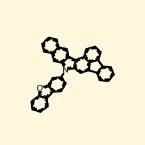 c1ccc2c(c1)-c1cccc3c1c-2cc1c3c2cc3ccccc3cc2n1-c1ccc2c(c1)oc1ccccc12